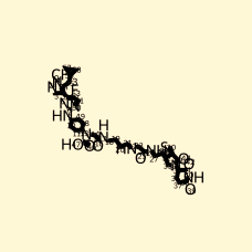 Cn1ncc(-c2nc(N[C@H]3CC[C@H](N(CC(=O)NCCCCNCC(=O)NCc4scc5c4CN(C4CCC(=O)NC4=O)C5=O)C(=O)O)CC3)ncc2F)c1CC1CC1